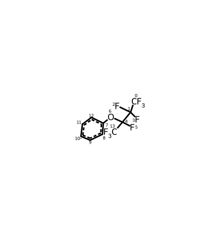 FC(F)(F)C(F)(F)C(F)(Oc1cc[c]cc1)C(F)(F)F